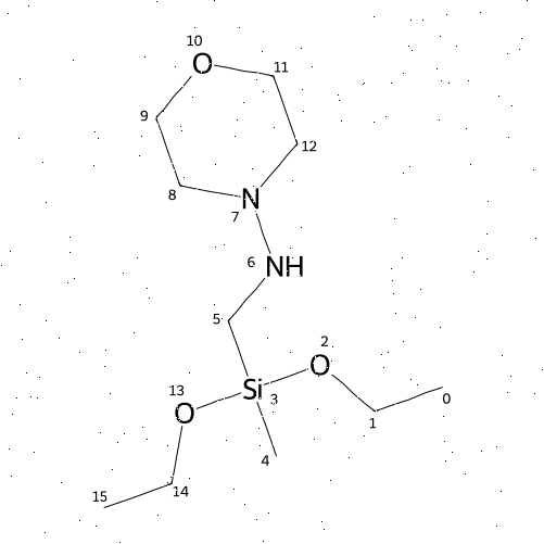 CCO[Si](C)(CNN1CCOCC1)OCC